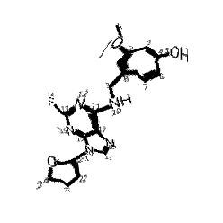 COc1cc(O)ccc1CNc1nc(F)nc2c1ncn2C1CCCO1